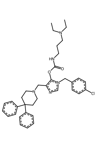 CCN(CC)CCCNC(=O)Oc1c(CN2CCC(c3ccccc3)(c3ccccc3)CC2)ncn1Cc1ccc(Cl)cc1